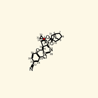 CC1(OC(=O)N2C3CCC2CC(n2ccc4c(Oc5ccc(C#N)cc5Cl)ncnc42)C3)CC1